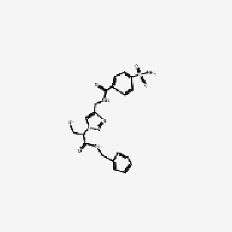 CC(C)CC(C(=O)NCc1ccccc1)n1cc(CNC(=O)c2ccc(S(N)(=O)=O)cc2)nn1